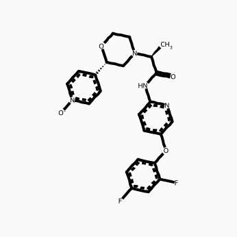 C[C@@H](C(=O)Nc1ccc(Oc2ccc(F)cc2F)cn1)N1CCO[C@@H](c2cc[n+]([O-])cc2)C1